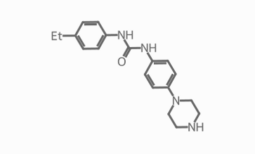 CCc1ccc(NC(=O)Nc2ccc(N3CCNCC3)cc2)cc1